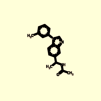 CC(=O)NC(C)c1ccc2c(c1)ncn2-c1cccc(C)c1